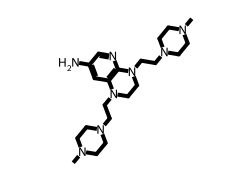 CN1CCN(CCN2CCN(CCN3CCN(C)CC3)c3ncc(N)cc32)CC1